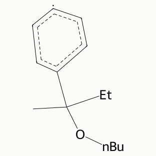 CCCCOC(C)(CC)c1cc[c]cc1